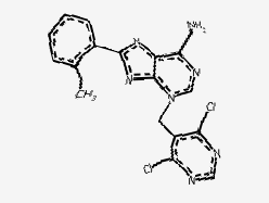 Cc1ccccc1-c1nc2c(N)ncn(Cc3c(Cl)ncnc3Cl)c-2n1